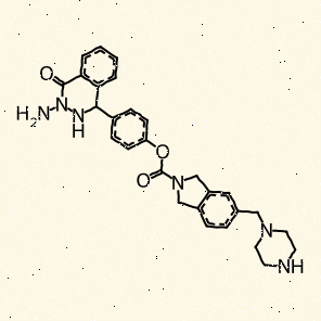 NN1NC(c2ccc(OC(=O)N3Cc4ccc(CN5CCNCC5)cc4C3)cc2)c2ccccc2C1=O